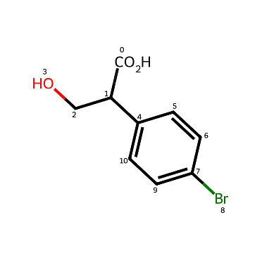 O=C(O)C(CO)c1ccc(Br)cc1